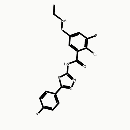 CCNSc1cc(F)c(Cl)c(C(=O)Nc2nnc(-c3ccc(F)cc3)s2)c1